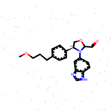 COCCCc1ccc([C@H]2COC(C=O)N2c2ccc3[nH]cnc3c2)cc1